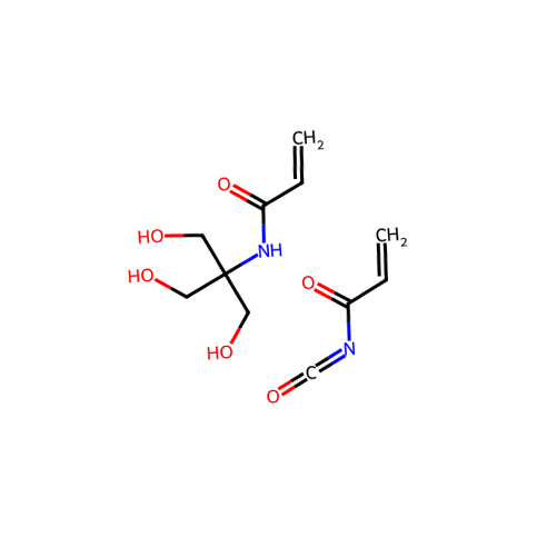 C=CC(=O)N=C=O.C=CC(=O)NC(CO)(CO)CO